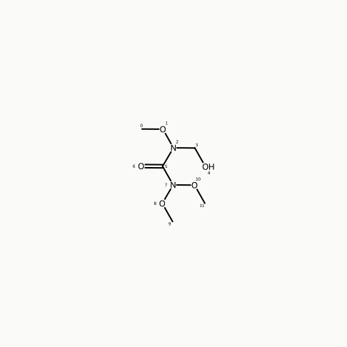 CON(CO)C(=O)N(OC)OC